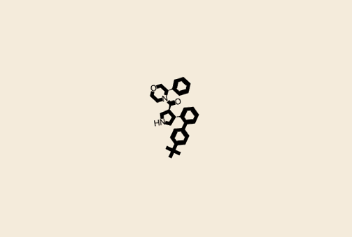 CC(C)(C)c1ccc(-c2ccccc2[C@@H]2CNC[C@H]2C(=O)N2CCOC[C@@H]2c2ccccc2)cc1